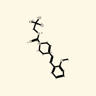 COc1ccccc1C=CC1=CCN(C(=O)OCC(Cl)(Cl)Cl)CC1